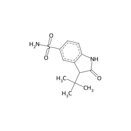 CC(C)(C)C1C(=O)Nc2ccc(S(N)(=O)=O)cc21